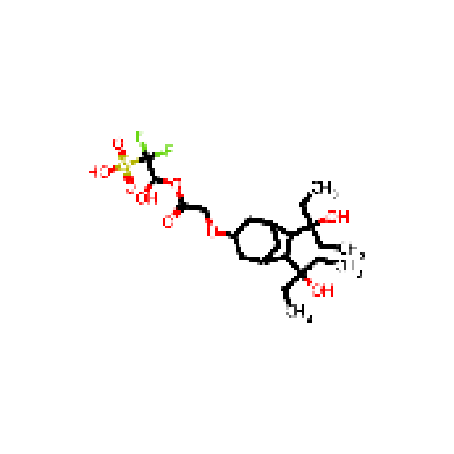 CCC(O)(CC)C1C2CC(OCC(=O)OC(O)C(F)(F)S(=O)(=O)O)CC(C2)C1C(O)(CC)CC